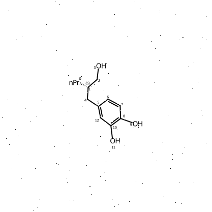 CCC[C@H](CO)Cc1ccc(O)c(O)c1